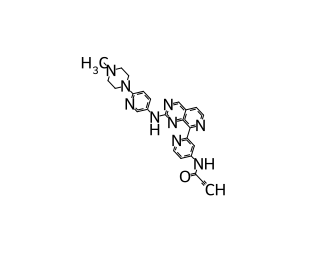 C#CC(=O)Nc1ccnc(-c2nccc3cnc(Nc4ccc(N5CCN(C)CC5)nc4)nc23)c1